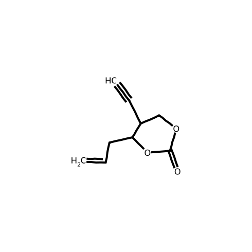 C#CC1COC(=O)OC1CC=C